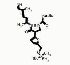 C/C(C=N)=C\C=C(/C)NC(=O)C(CNC(=O)OC(C)(C)C)c1ccc(CO[Si](C)(C)C(C)(C)C)s1